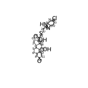 C[C@@H]1CC2C3CCC4=CC(=O)C=CC4(C)C3[C@@H](O)CC2(C)[C@@]1(O)C(=O)CSCCc1nc2ccc(Cl)cc2[nH]1